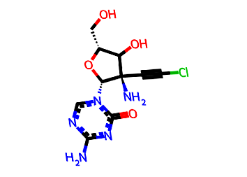 Nc1ncn([C@@H]2O[C@H](CO)C(O)[C@]2(N)C#CCl)c(=O)n1